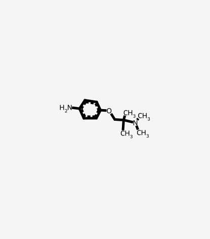 CN(C)C(C)(C)COc1ccc(N)cc1